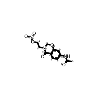 CC(=O)Nc1ccc2c(c1)OCN(CCO[N+](=O)[O-])C2=O